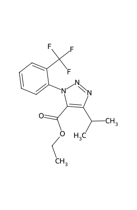 CCOC(=O)c1c(C(C)C)nnn1-c1ccccc1C(F)(F)F